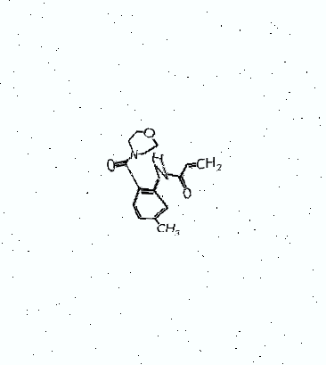 C=CC(=O)Nc1cc(C)ccc1C(=O)N1CCOCC1